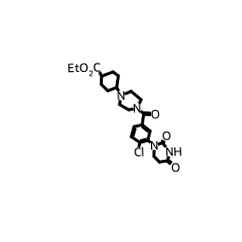 CCOC(=O)C1CCC(N2CCN(C(=O)c3ccc(Cl)c(N4CCC(=O)NC4=O)c3)CC2)CC1